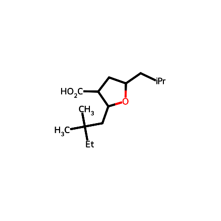 CCC(C)(C)CC1OC(CC(C)C)CC1C(=O)O